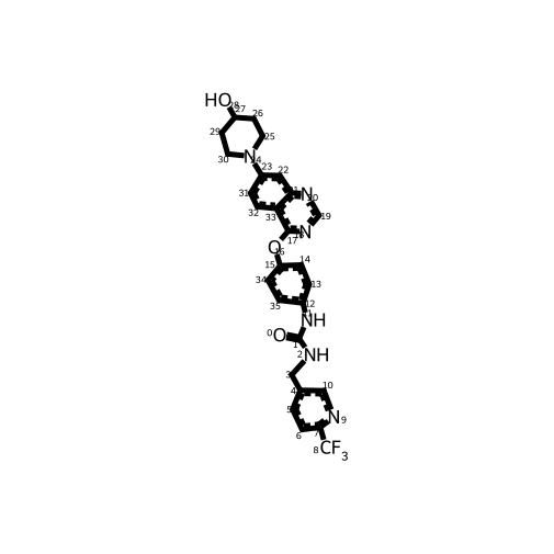 O=C(NCc1ccc(C(F)(F)F)nc1)Nc1ccc(Oc2ncnc3cc(N4CCC(O)CC4)ccc23)cc1